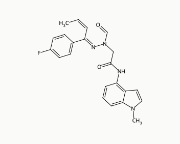 C/C=C\C(=N/N(C=O)CC(=O)Nc1cccc2c1ccn2C)c1ccc(F)cc1